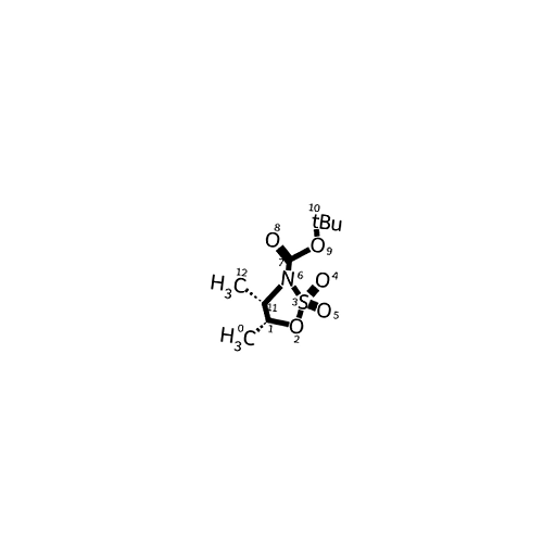 C[C@H]1OS(=O)(=O)N(C(=O)OC(C)(C)C)[C@H]1C